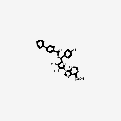 O=C(O[C@H](c1ccc(Cl)cc1)[C@H]1O[C@@H](n2cnc3c(=NO)nc[nH]c32)[C@H](O)[C@@H]1O)c1ccc(-c2ccccc2)cc1